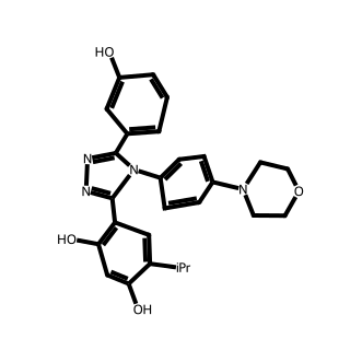 CC(C)c1cc(-c2nnc(-c3cccc(O)c3)n2-c2ccc(N3CCOCC3)cc2)c(O)cc1O